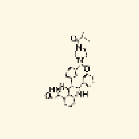 CC(C)C(=O)N1CCN(C(=O)c2cccc(C3C4=NNC(C=O)c5cccc(c54)NC3c3ccccc3)c2)CC1